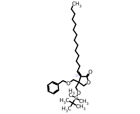 CCCCCCCCCCCCC/C=C1\C(=O)OCC1(COCc1ccccc1)CO[Si](C)(C)C(C)(C)C